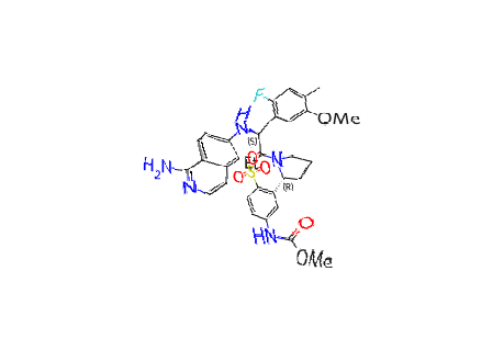 CCS(=O)(=O)c1ccc(NC(=O)OC)cc1[C@H]1CCCN1C(=O)[C@@H](Nc1ccc2c(N)nccc2c1)c1cc(OC)c(C)cc1F